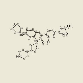 Cc1nc(-c2ccc(-c3cc4cnc(NC5CCOCC5)nc4n(C4CCC(C5CCNCC5)C4)c3=O)c(Cl)c2)no1